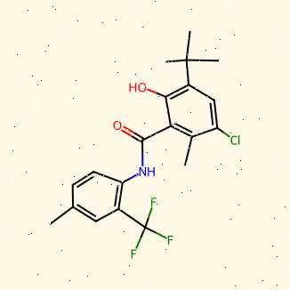 Cc1ccc(NC(=O)c2c(C)c(Cl)cc(C(C)(C)C)c2O)c(C(F)(F)F)c1